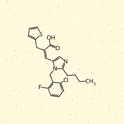 CCCCc1ncc(C=C(Cc2cccs2)C(=O)O)n1Cc1c(F)cccc1Cl